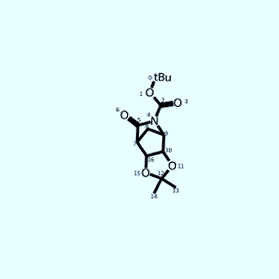 CC(C)(C)OC(=O)N1C(=O)C2CC1C1OC(C)(C)OC21